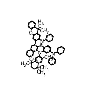 Cc1cc2c(cc1N1c3cc(N(c4ccccc4)c4ccccc4)ccc3B3c4c(cc5ccccc5c41)-c1cc4c(cc1N3c1ccccc1)C(C)(C)c1ccccc1O4)C(C)(C)CCC2(C)C